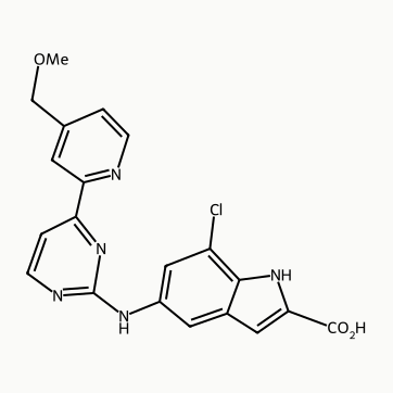 COCc1ccnc(-c2ccnc(Nc3cc(Cl)c4[nH]c(C(=O)O)cc4c3)n2)c1